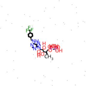 C/C=C(/COP(=O)(O)CP(=O)(O)O)[C@@H](O)[C@@H](O)[C@@H](O)n1cnc2c(NCc3ccc(C(F)(F)F)cc3)ncnc21